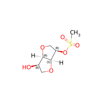 CS(=O)(=O)O[C@@H]1CO[C@H]2[C@@H]1OC[C@H]2O